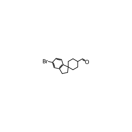 O=CC1CCC2(CCc3cc(Br)ccc32)CC1